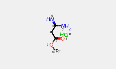 CC(C)OC(=O)CC(=N)N.Cl